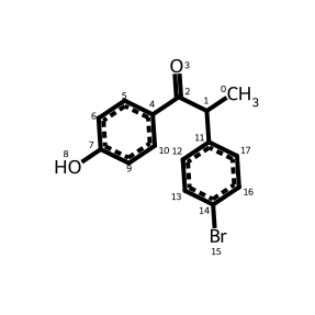 CC(C(=O)c1ccc(O)cc1)c1ccc(Br)cc1